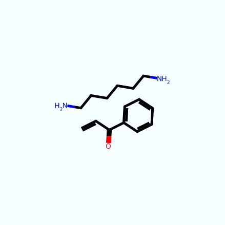 C=CC(=O)c1ccccc1.NCCCCCCN